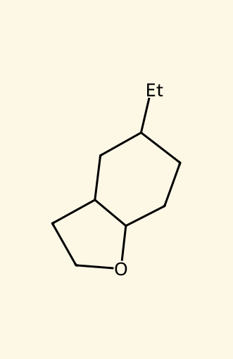 CCC1CCC2OCCC2C1